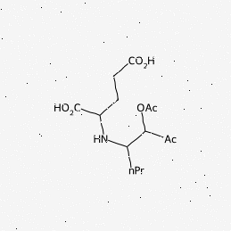 CCCC(NC(CCC(=O)O)C(=O)O)C(OC(C)=O)C(C)=O